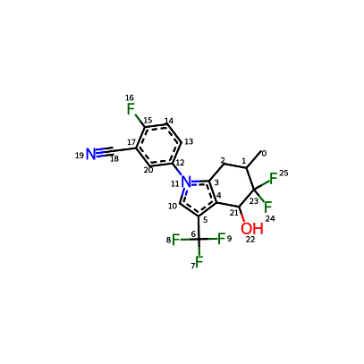 CC1Cc2c(c(C(F)(F)F)cn2-c2ccc(F)c(C#N)c2)C(O)C1(F)F